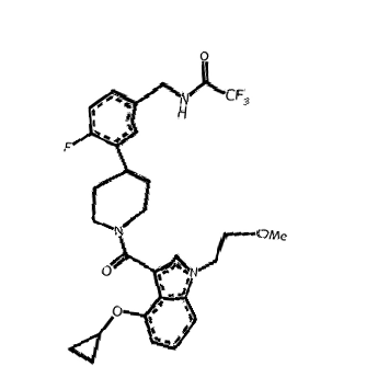 COCCn1cc(C(=O)N2CCC(c3cc(CNC(=O)C(F)(F)F)ccc3F)CC2)c2c(OC3CC3)cccc21